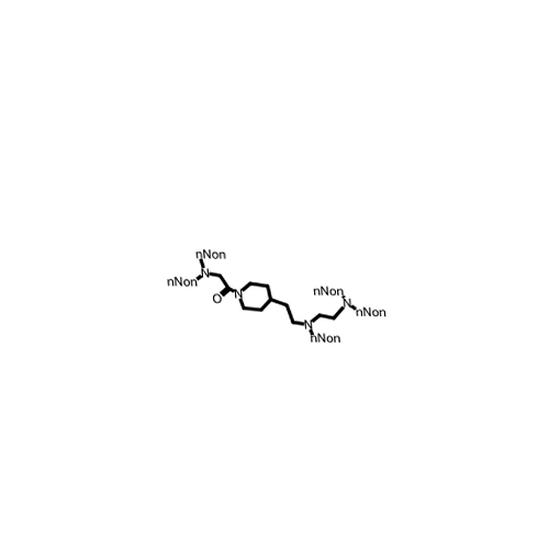 CCCCCCCCCN(CCCCCCCCC)CCN(CCCCCCCCC)CCC1CCN(C(=O)CN(CCCCCCCCC)CCCCCCCCC)CC1